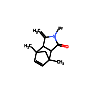 C=C1C2C(C(=O)N1C(C)C)C1(C)C=CC2(C)C1